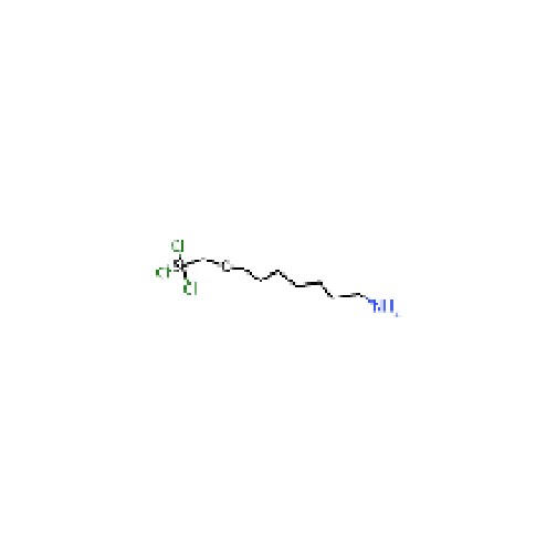 NCCCCCCCCC[Si](Cl)(Cl)Cl